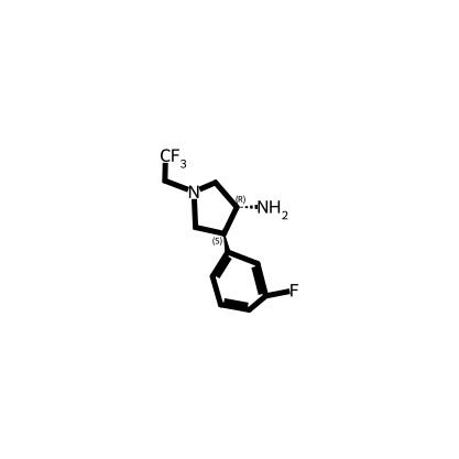 N[C@H]1CN(CC(F)(F)F)C[C@@H]1c1cccc(F)c1